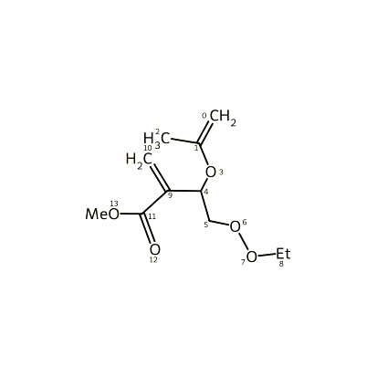 C=C(C)OC(COOCC)C(=C)C(=O)OC